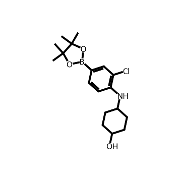 CC1(C)OB(c2ccc(NC3CCC(O)CC3)c(Cl)c2)OC1(C)C